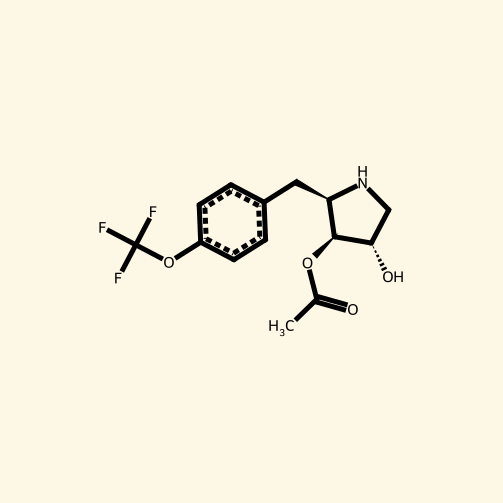 CC(=O)O[C@@H]1[C@@H](O)CN[C@@H]1Cc1ccc(OC(F)(F)F)cc1